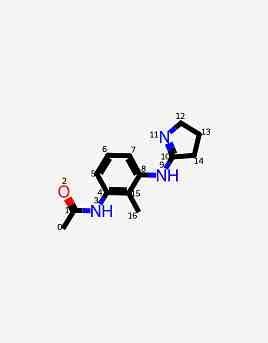 CC(=O)Nc1cccc(NC2=NCCC2)c1C